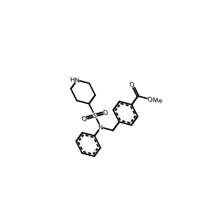 COC(=O)c1ccc(CN(c2ccccc2)S(=O)(=O)C2CCNCC2)cc1